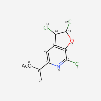 CC(=O)OC(C)c1cc2c(c(Cl)n1)OC(Cl)C2Cl